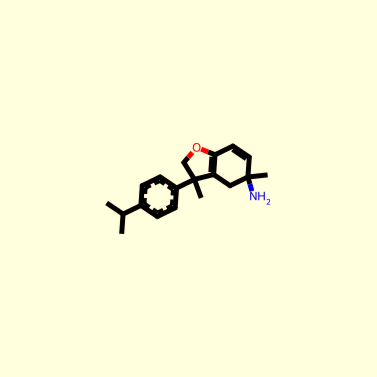 CC(C)c1ccc(C2(C)COC3=C2CC(C)(N)C=C3)cc1